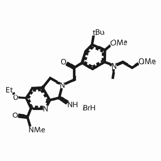 Br.CCOc1cc2c(nc1C(=O)NC)C(=N)N(CC(=O)c1cc(N(C)CCOC)c(OC)c(C(C)(C)C)c1)C2